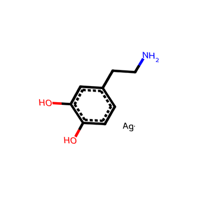 NCCc1ccc(O)c(O)c1.[Ag]